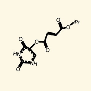 CC(C)OC(=O)/C=C/C(=O)Oc1c[nH]c(=O)[nH]c1=O